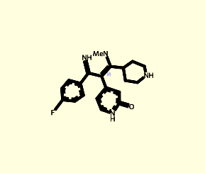 CN/C(=C(\C(=N)c1ccc(F)cc1)c1cc[nH]c(=O)c1)C1CCNCC1